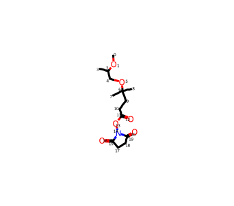 COC(C)COC(C)(C)CCC(=O)ON1C(=O)CCC1=O